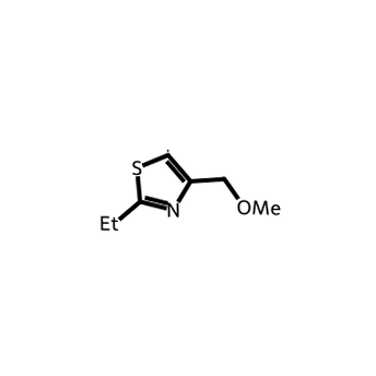 CCc1nc(COC)[c]s1